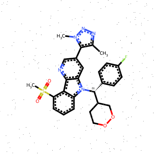 Cc1nnn(C)c1-c1cnc2c3c(S(C)(=O)=O)cccc3n([C@H](c3ccc(F)cc3)C3CCOOC3)c2c1